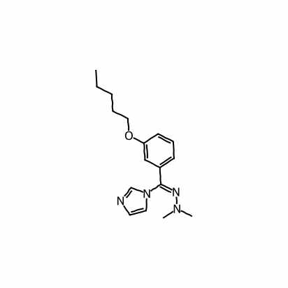 CCCCCOc1cccc(C(=NN(C)C)n2ccnc2)c1